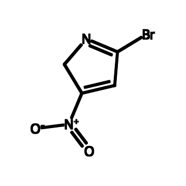 O=[N+]([O-])C1=CC(Br)=NC1